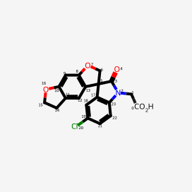 O=C(O)CN1C(=O)C2(COc3cc4c(cc32)CCO4)c2cc(Cl)ccc21